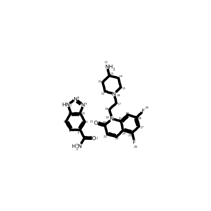 NC(=O)c1ccc2[nH]nnc2c1.NC1CCN(CCn2c(=O)ccc3c(F)cc(F)cc32)CC1